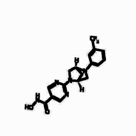 O=C(NO)c1cnc(N2C[C@@H]3C[C@H]2CN3c2cccc(C(F)(F)F)c2)nc1